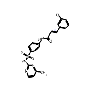 Cc1ccnc(NS(=O)(=O)c2ccc(NC(=O)/C=C/c3cccc(Cl)c3)cc2)n1